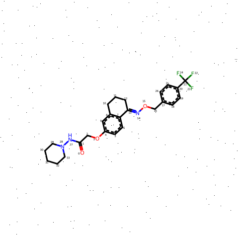 O=C(COc1ccc2c(c1)CCCC2=NOCc1ccc(C(F)(F)F)cc1)NN1CCCCC1